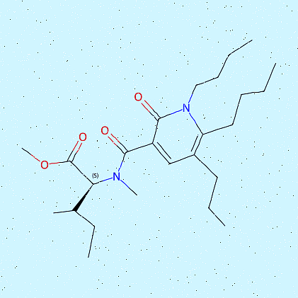 CCCCc1c(CCC)cc(C(=O)N(C)[C@H](C(=O)OC)C(C)CC)c(=O)n1CCCC